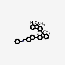 CC1(C)c2ccccc2-c2c1ccc1c2Sc2c(-c3ccc4cc(/C=C/c5ccccc5)ccc4c3)cccc2C1(C)c1ccccc1